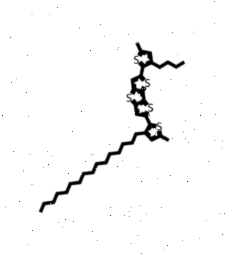 CCCCCCCCCCCCCCCCc1cc(C)sc1-c1cc2sc3cc(-c4sc(C)cc4CCCC)sc3c2s1